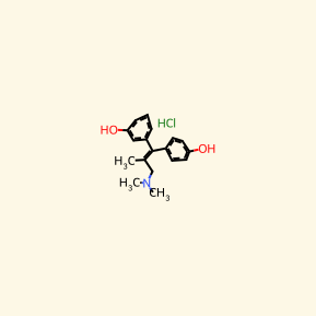 C/C(CN(C)C)=C(/c1ccc(O)cc1)c1cccc(O)c1.Cl